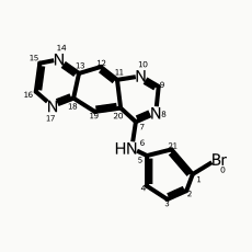 Brc1cccc(Nc2ncnc3cc4nccnc4cc23)c1